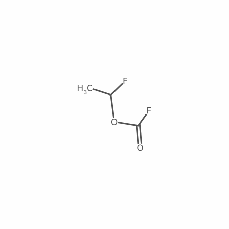 CC(F)OC(=O)F